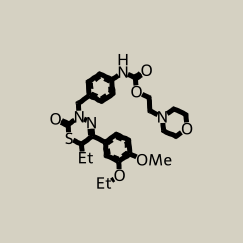 CCOc1cc(C2=NN(Cc3ccc(NC(=O)OCCN4CCOCC4)cc3)C(=O)SC2CC)ccc1OC